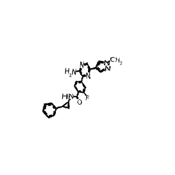 Cn1cc(-c2cnc(N)c(-c3ccc(C(=O)NC4CC4c4ccccc4)c(F)c3)n2)cn1